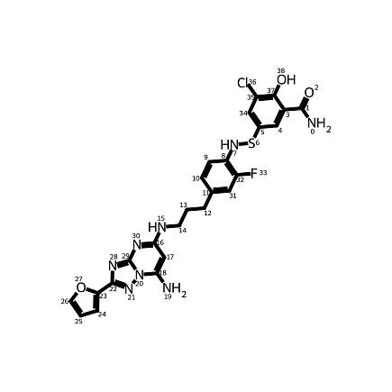 NC(=O)c1cc(SNc2ccc(CCCNc3cc(N)n4nc(-c5ccco5)nc4n3)cc2F)cc(Cl)c1O